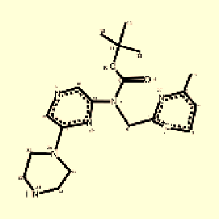 Cc1cccc(CN(C(=O)OC(C)(C)C)c2cncc(N3CCNCC3)n2)n1